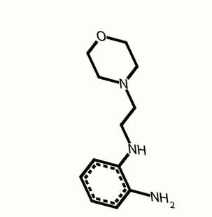 Nc1ccccc1NCCN1CCOCC1